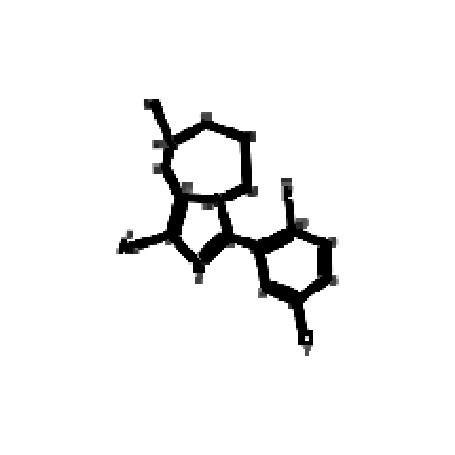 CC(=O)c1nc(-c2cc(Cl)ccc2F)n2c1CN(C)CCC2